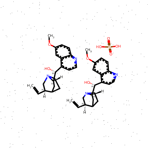 C=C[C@H]1CN2CCC1C[C@H]2[C@H](O)c1ccnc2ccc(OC)cc12.C=C[C@H]1CN2CCC1C[C@H]2[C@H](O)c1ccnc2ccc(OC)cc12.O=S(=O)(O)O